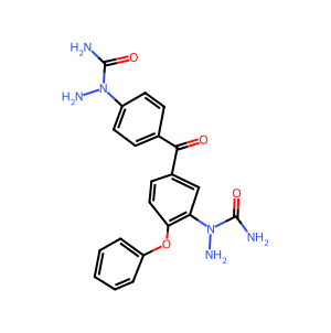 NC(=O)N(N)c1ccc(C(=O)c2ccc(Oc3ccccc3)c(N(N)C(N)=O)c2)cc1